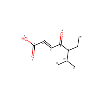 CCC(C(=O)C=CC(=O)O)C(C)C